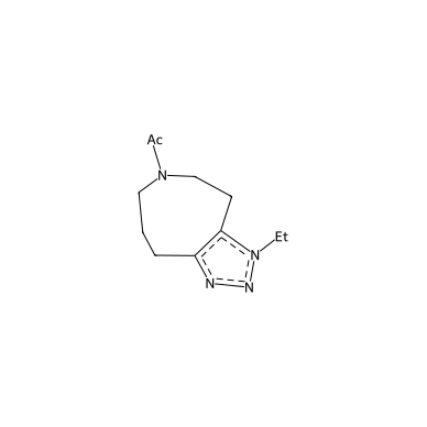 CCn1nnc2c1CCN(C(C)=O)CCC2